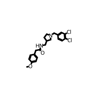 COc1ccc(CC(=O)NCC2CCN(Cc3ccc(Cl)c(Cl)c3)C2)cc1